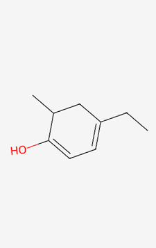 CCC1=CC=C(O)C(C)C1